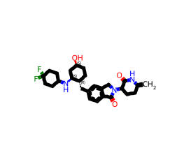 C=C1CCC(N2Cc3cc(C[C@H]4CC[C@H](O)C[C@@H]4NC4CCC(F)(F)CC4)ccc3C2=O)C(=O)N1